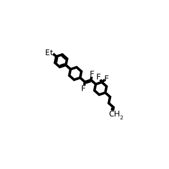 C=CCCC1CCC(/C(F)=C(\F)C2CCC(c3ccc(CC)cc3)CC2)C(F)(F)C1